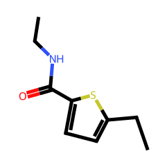 CCNC(=O)c1ccc(CC)s1